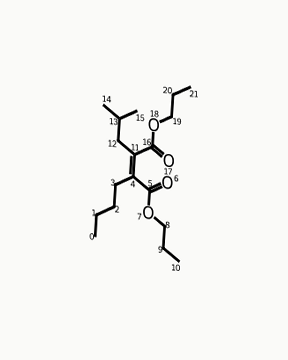 CCCC/C(C(=O)OCCC)=C(\CC(C)C)C(=O)OCCC